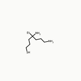 [CH2]CC(N)(CCCN)CCCS